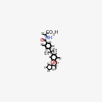 CCC(CC)(c1ccc(CC(C)C2(O)CCCC2)c(C)c1)c1ccc(C(=O)NC(C)C(=O)O)c(C)c1